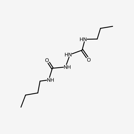 CCCCNC(=O)NNC(=O)NCCC